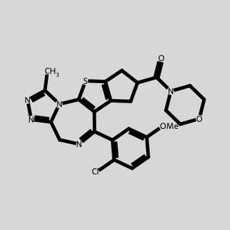 COc1ccc(Cl)c(C2=NCc3nnc(C)n3-c3sc4c(c32)CC(C(=O)N2CCOCC2)C4)c1